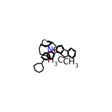 CC1(C)c2ccccc2-c2ccc(N(c3ccc(C4CCCCCC4)cc3)c3cc4ccc3CCc3ccc(cc3)CC4)cc21